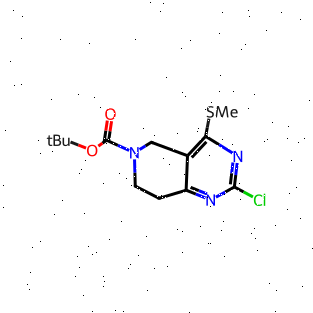 CSc1nc(Cl)nc2c1CN(C(=O)OC(C)(C)C)CC2